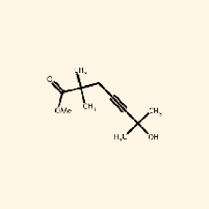 COC(=O)C(C)(C)CC#CC(C)(C)O